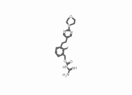 N=C(N)NC(=O)OCc1cccc(CCc2cnc(N3CCOCC3)nc2)c1F